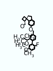 COc1ccc(F)c(-c2ccc(COc3ccc4c(c3)[C@@]3(CC4)CC[C@@H]3C=O)cc2[C@H](OC)C(C)(C)C)c1